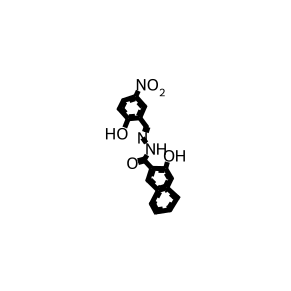 O=C(N/N=C/c1cc([N+](=O)[O-])ccc1O)c1cc2ccccc2cc1O